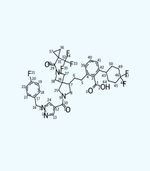 O=C(O)c1c(CCC2CN(C(=O)c3cnn(Cc4ccc(F)cc4)c3)CC23CN(C(=O)C2(C(F)(F)F)CC2)C3)cccc1C1CCC(F)(F)CC1